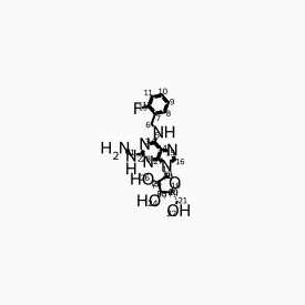 NNc1nc(NCc2ccccc2F)c2ncn([C@@H]3O[C@H](CO)[C@H](O)[C@@H]3O)c2n1